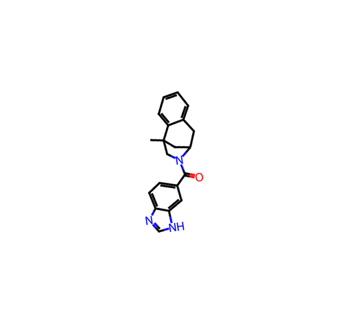 CC12CC(Cc3ccccc31)N(C(=O)c1ccc3nc[nH]c3c1)C2